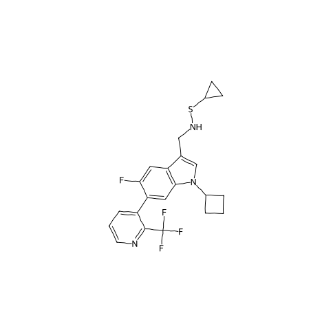 Fc1cc2c(CNSC3CC3)cn(C3CCC3)c2cc1-c1cccnc1C(F)(F)F